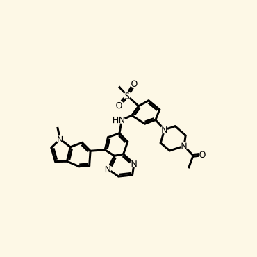 CC(=O)N1CCN(c2ccc(S(C)(=O)=O)c(Nc3cc(-c4ccc5ccn(C)c5c4)c4nccnc4c3)c2)CC1